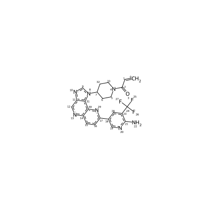 C=CC(=O)N1CCC(n2cnc3cnc4ccc(-c5cnc(N)c(C(F)(F)F)c5)nc4c32)CC1